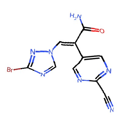 N#Cc1ncc(/C(=C\n2cnc(Br)n2)C(N)=O)cn1